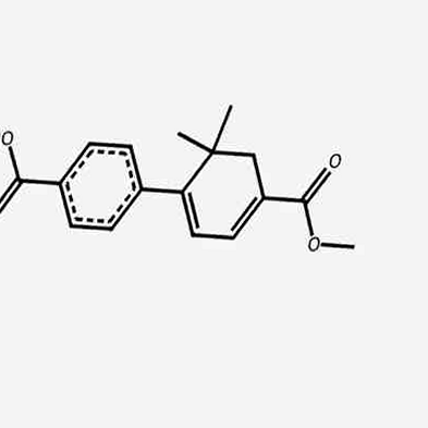 COC(=O)C1=CC=C(c2ccc(C(=O)O)cc2)C(C)(C)C1